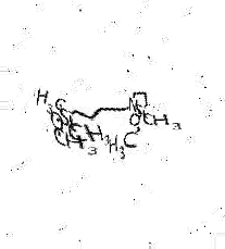 CCO[Si]1(C)CCCN1CCCC[Si](C)(C)OC